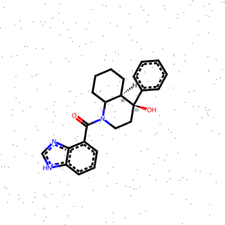 O=C(c1cccc2[nH]cnc12)N1CC[C@@](O)(c2ccccc2)[C@@H]2CCCCC21